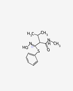 CNC(=O)C(/C(=N/O)Sc1ccccc1)C(C)C